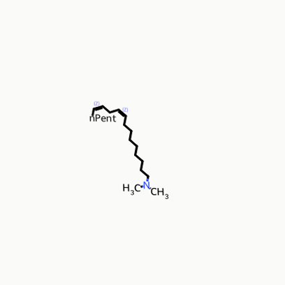 CCCCC/C=C\C/C=C\CCCCCCCCN(C)C